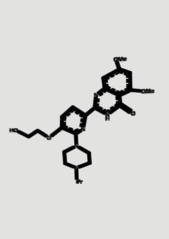 COc1cc(OC)c2c(=O)[nH]c(-c3ccc(OCCO)c(N4CCN(C(C)C)CC4)n3)nc2c1